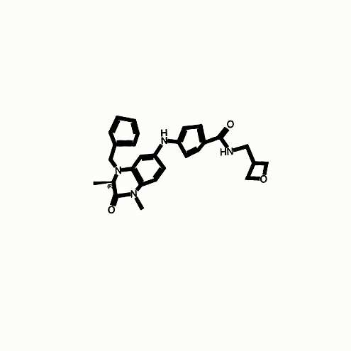 C[C@@H]1C(=O)N(C)c2ccc(Nc3ccc(C(=O)NCC4COC4)cc3)cc2N1Cc1ccccc1